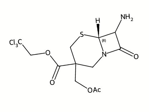 CC(=O)OCC1(C(=O)OCC(Cl)(Cl)Cl)CS[C@@H]2C(N)C(=O)N2C1